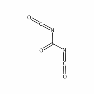 O=C=NC(=O)N=C=O